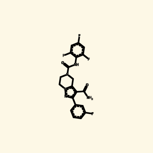 NC(=O)c1c(-c2cccc(F)c2)nn2c1CN(C(=O)Nc1c(F)cc(F)cc1F)CC2